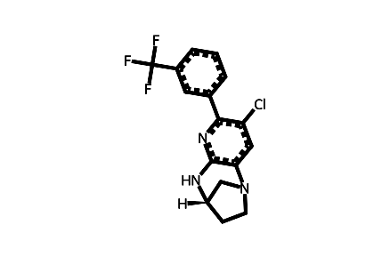 FC(F)(F)c1cccc(-c2nc3c(cc2Cl)N2CC[C@@H](C2)N3)c1